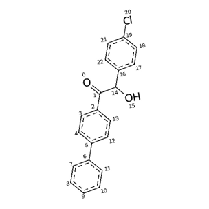 O=C(c1ccc(-c2ccccc2)cc1)C(O)c1ccc(Cl)cc1